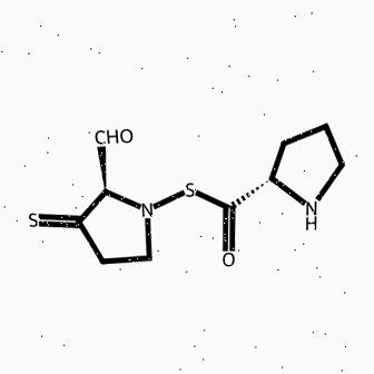 O=C[C@@H]1C(=S)CCN1SC(=O)[C@@H]1CCCN1